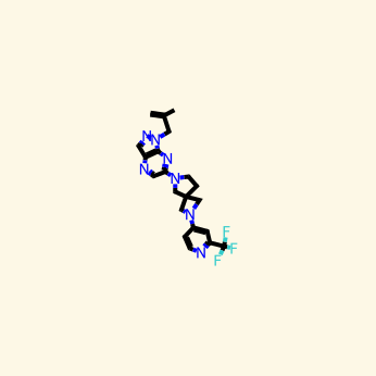 C=C(C)Cn1ncc2ncc(N3CCC4(CN(c5ccnc(C(F)(F)F)c5)C4)C3)nc21